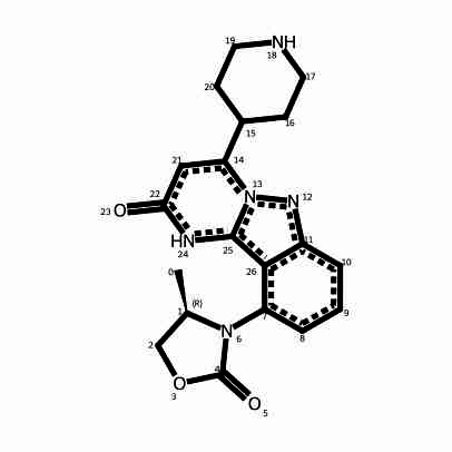 C[C@@H]1COC(=O)N1c1cccc2nn3c(C4CCNCC4)cc(=O)[nH]c3c12